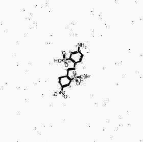 Nc1ccc(C=Cc2ccc([N+](=O)[O-])cc2S(=O)(=O)O)c(S(=O)(=O)O)c1.[Na]